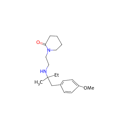 CCC(C)(Cc1ccc(OC)cc1)NCCN1CCCCC1=O